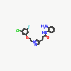 Nc1ccccc1NC(=O)C=Cc1cnn(CCOc2cc(F)cc(Cl)c2)c1